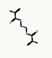 C=C(C)C(=O)SCCSC(=O)C(=C)C